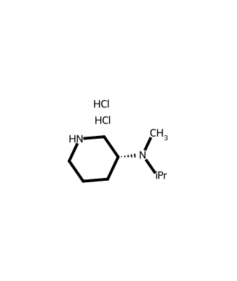 CC(C)N(C)[C@@H]1CCCNC1.Cl.Cl